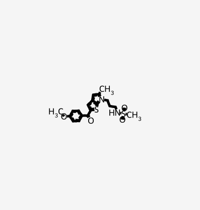 COc1ccc(C(=O)c2cc3cc(C)n(CCCNS(C)(=O)=O)c3s2)cc1